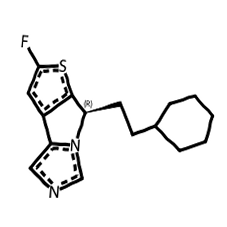 Fc1cc2c(s1)[C@@H](CCC1CCCCC1)n1cncc1-2